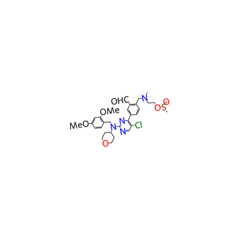 COc1ccc(CN(c2ncc(Cl)c(-c3ccc(CN(C)CCOS(C)=O)c(C=O)c3)n2)C2CCOCC2)c(OC)c1